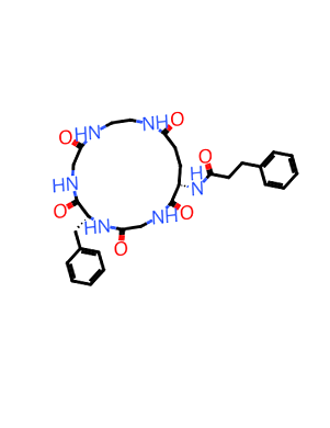 O=C1CC[C@H](NC(=O)CCc2ccccc2)C(=O)NCC(=O)N[C@H](Cc2ccccc2)C(=O)NCC(=O)NCCN1